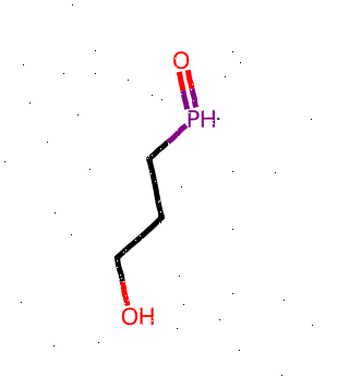 O=[PH]CCCO